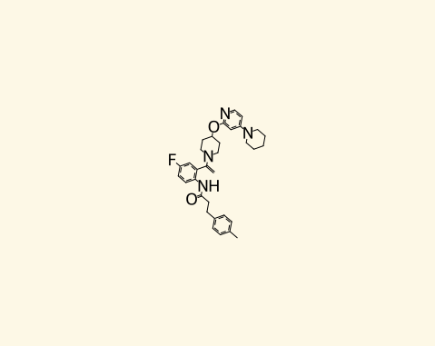 C=C(c1cc(F)ccc1NC(=O)CCc1ccc(C)cc1)N1CCC(Oc2cc(N3CCCCC3)ccn2)CC1